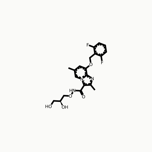 Cc1cc(OCc2c(F)cccc2F)c2nc(C)c(C(=O)NOC[C@@H](O)CO)n2c1